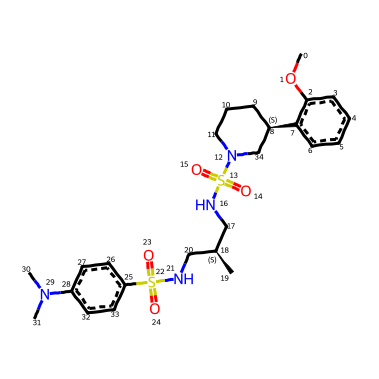 COc1ccccc1[C@@H]1CCCN(S(=O)(=O)NC[C@@H](C)CNS(=O)(=O)c2ccc(N(C)C)cc2)C1